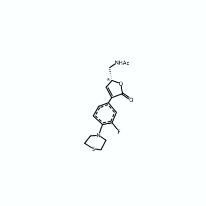 CC(=O)NC[C@H]1C=C(c2ccc(N3CCSCC3)c(F)c2)C(=O)O1